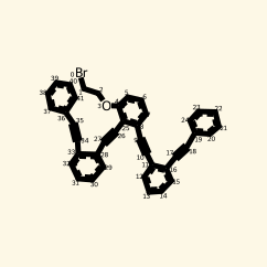 BrCCOc1cccc(C#Cc2ccccc2C#Cc2ccccc2)c1C#Cc1ccccc1C#Cc1ccccc1